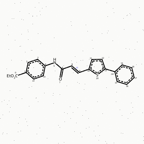 CCOC(=O)c1ccc(NC(=O)/C=C/c2ccc(-c3ccccc3)s2)cc1